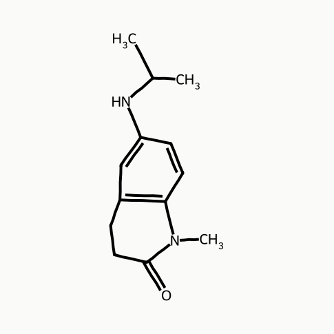 CC(C)Nc1ccc2c(c1)CCC(=O)N2C